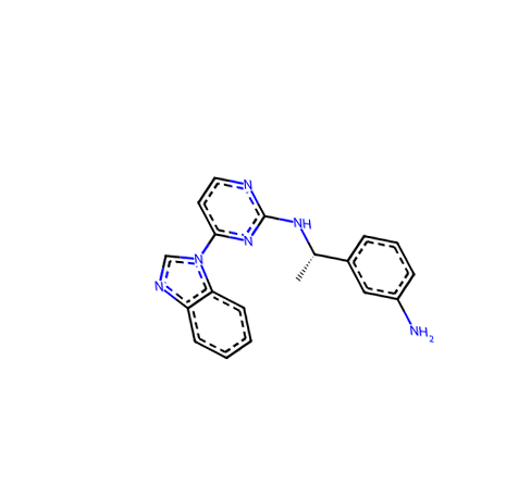 C[C@H](Nc1nccc(-n2cnc3ccccc32)n1)c1cccc(N)c1